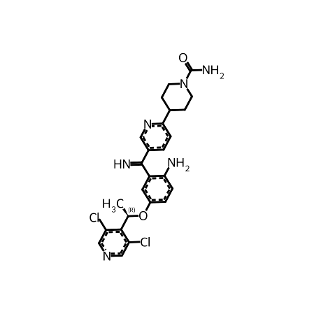 C[C@@H](Oc1ccc(N)c(C(=N)c2ccc(C3CCN(C(N)=O)CC3)nc2)c1)c1c(Cl)cncc1Cl